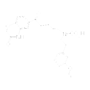 CCOc1cccc(CCN(CCCCC(=O)c2ccc3c(c2)NC(=O)CO3)C(=O)O)c1